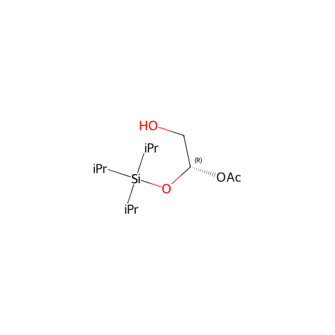 CC(=O)O[C@@H](CO)O[Si](C(C)C)(C(C)C)C(C)C